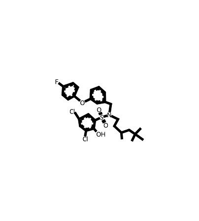 CC(CCN(Cc1cccc(Oc2ccc(F)cc2)c1)S(=O)(=O)c1cc(Cl)cc(Cl)c1O)CC(C)(C)C